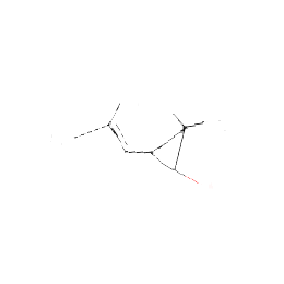 CC(C)=CC1C(O)C1(C)C